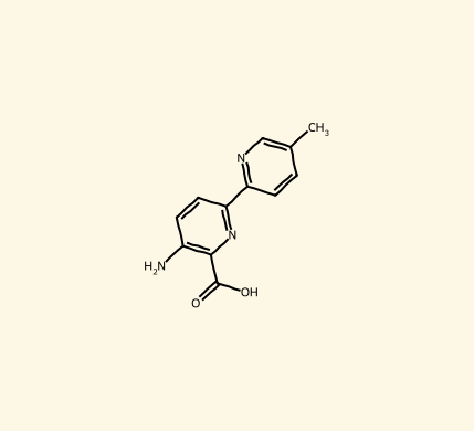 Cc1ccc(-c2ccc(N)c(C(=O)O)n2)nc1